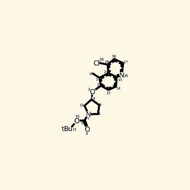 Cc1c(O[C@H]2CCN(C(=O)OC(C)(C)C)C2)ccc2nccc(Cl)c12